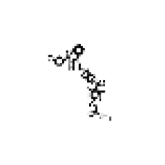 Cc1nc(N(C)CC(N)=O)nc(C)c1C(=O)N1CC2CN(CC[C@H](NC(=O)C3CCC(=O)C3)c3ccccc3)CC2C1